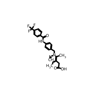 C=NN(Cc1ccc(NC(=O)c2ccc(C(F)(F)F)cc2)cc1)/C(C)=C(\CC)CC(=O)O